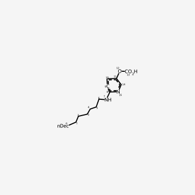 CCCCCCCCCCCCCCCCNc1ccc(OC(=O)O)cn1